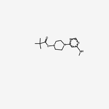 CNc1cc(N2CCN(OC(=O)C(C)(C)C)CC2)ncn1